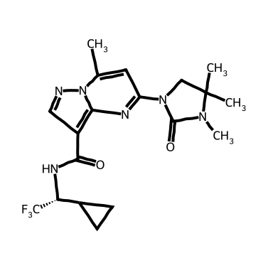 Cc1cc(N2CC(C)(C)N(C)C2=O)nc2c(C(=O)N[C@H](C3CC3)C(F)(F)F)cnn12